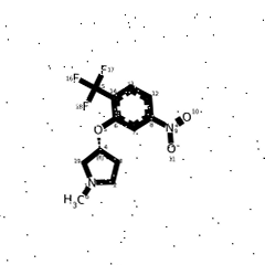 CN1CC[C@@H](Oc2cc([N+](=O)[O-])ccc2C(F)(F)F)C1